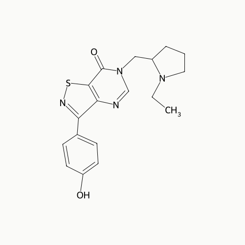 CCN1CCCC1Cn1cnc2c(-c3ccc(O)cc3)nsc2c1=O